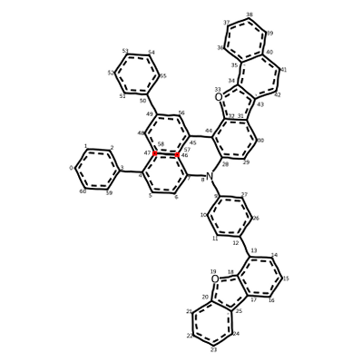 c1ccc(-c2ccc(N(c3ccc(-c4cccc5c4oc4ccccc45)cc3)c3ccc4c(oc5c6ccccc6ccc45)c3-c3cccc(-c4ccccc4)c3)cc2)cc1